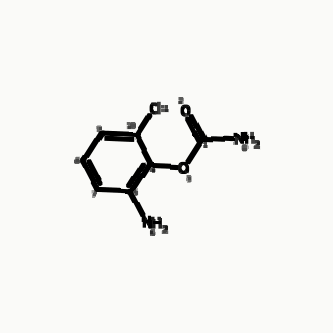 NC(=O)Oc1c(N)cccc1Cl